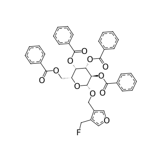 O=C(OC[C@H]1O[C@@H](OCc2cocc2CF)[C@H](OC(=O)c2ccccc2)[C@@H](OC(=O)c2ccccc2)[C@H]1OC(=O)c1ccccc1)c1ccccc1